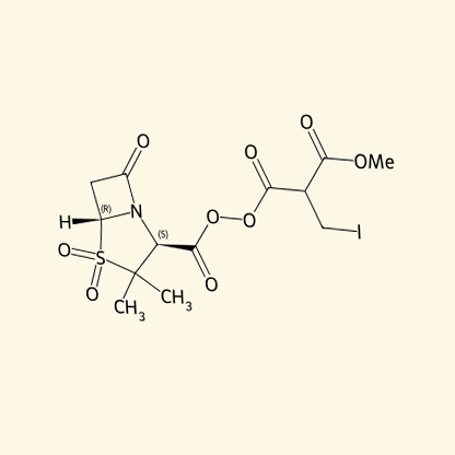 COC(=O)C(CI)C(=O)OOC(=O)[C@@H]1N2C(=O)C[C@H]2S(=O)(=O)C1(C)C